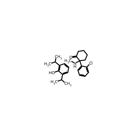 CC(C)c1cccc(C(C)C)c1O.CNC1(c2ccccc2Cl)CCCCC1=O